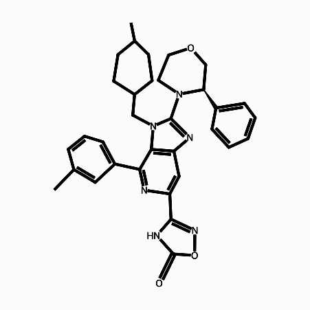 Cc1cccc(-c2nc(-c3noc(=O)[nH]3)cc3nc(N4CCOC[C@H]4c4ccccc4)n(CC4CCC(C)CC4)c23)c1